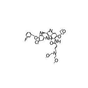 COCCN(C/C=C/C(=O)Nc1cc2c(Nc3ccc(OCc4cccc(F)c4)c(Cl)c3)c(C#N)cnc2cc1OC1CCOC1)CCOC